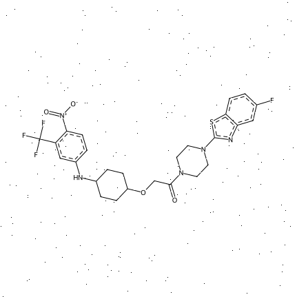 O=C(COC1CCC(Nc2ccc([N+](=O)[O-])c(C(F)(F)F)c2)CC1)N1CCN(c2nc3cc(F)ccc3s2)CC1